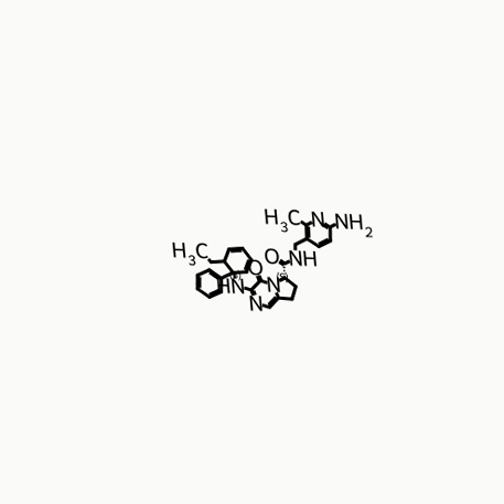 CCC1C=CC=C[C@]1(Nc1ncc2n(c1=O)[C@H](C(=O)NCc1ccc(N)nc1C)CC2)c1ccccc1